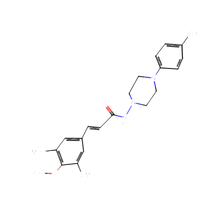 CCCCCCCCCCOc1c(OC)cc(C=CC(=O)NN2CCN(c3ccc(C)cc3)CC2)cc1OC